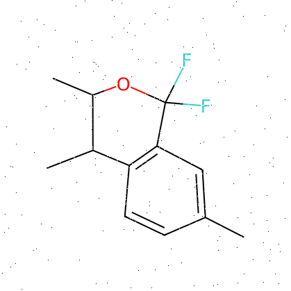 Cc1ccc2c(c1)C(F)(F)OC(C)C2C